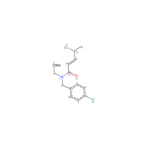 COCN(Cc1ccc(Cl)cc1)C(=O)C=CC(C)Cl